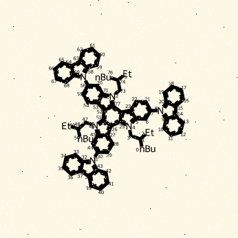 CCCCC(CC)Cn1c2cc(-n3c4ccccc4c4ccccc43)ccc2c2c1c1c3ccc(-n4c5ccccc5c5ccccc54)cc3n(CC(CC)CCCC)c1c1c3ccc(-n4c5ccccc5c5ccccc54)cc3n(CC(CC)CCCC)c21